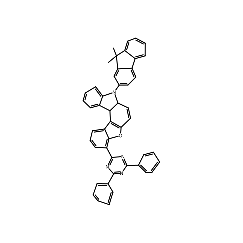 CC1(C)c2ccccc2-c2ccc(N3c4ccccc4C4c5c(oc6c(-c7nc(-c8ccccc8)nc(-c8ccccc8)n7)cccc56)C=CC43)cc21